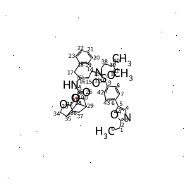 CCc1ncc(-c2ccc(S(=O)(=O)N(CC[C@H](Cc3ccccc3)NC(=O)OC3C4COC5OCC3C5C4)CC(C)C)cc2)o1